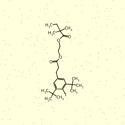 CCC(C)(C)C(=O)OCCOC(=O)CCc1cc(C(C)(C)C)c(I)c(C(C)(C)C)c1